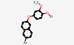 CCOc1ccc(Oc2ccc3cc(C(C)=O)ccc3c2)cc1OC(F)(F)F